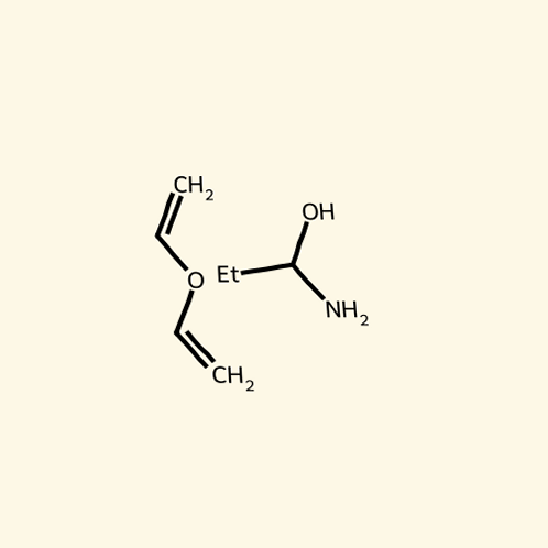 C=COC=C.CCC(N)O